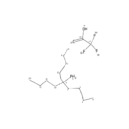 CCCCC(P)(CCCC)CCCC.O=C(O)C(F)(F)F